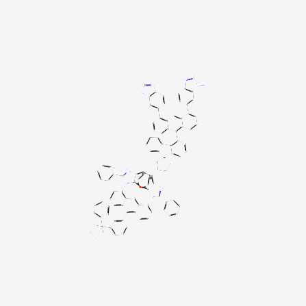 Cc1nc2ccc(-c3cccc4c(-c5cccc6c5-c5ccccc5C65CCC(c6cccc7c6nc(-c6ccccc6)n7-c6cccc7c(-c8cccc9c8-c8ccccc8C98CCCC8)c8cccc(-n9c(-c%10ccccc%10)nc%10ccccc%109)c8cc67)C5)c5cccc(-c6ccc7nc(C)n(C)c7c6)c5cc34)cc2n1C